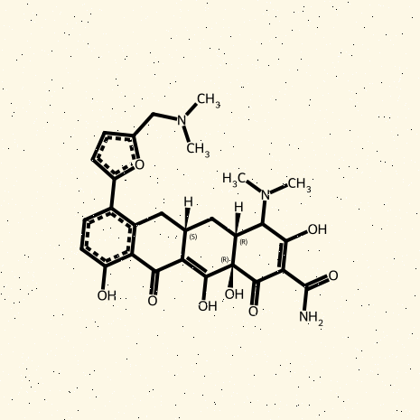 CN(C)Cc1ccc(-c2ccc(O)c3c2C[C@@H]2C[C@@H]4C(N(C)C)C(O)=C(C(N)=O)C(=O)[C@]4(O)C(O)=C2C3=O)o1